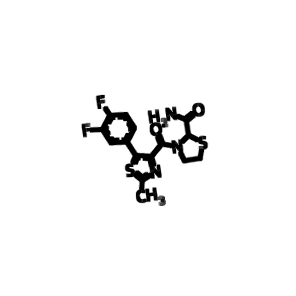 Cc1nc(C(=O)N2CCSC2C(N)=O)c(-c2ccc(F)c(F)c2)s1